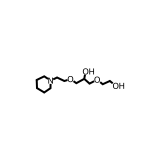 OCCOCC(O)COCCN1CCCCC1